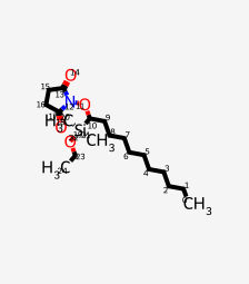 CCCCCCCCCCC(ON1C(=O)CCC1=O)[Si](C)(C)OCC